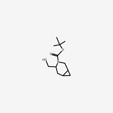 CC(C)(C)OC(=O)N1CC2CC2CC1CO